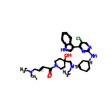 CN(C)C/C=C/C(=O)N1CCC(O)(CN(C)[C@H]2CCC[C@@H](Nc3ncc(Cl)c(-c4c[nH]c5ccccc45)n3)C2)CC1